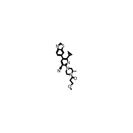 COCCC(=O)N1CCN(c2nc(C3CC3)c(-c3ccc4ncsc4c3)cc2C#N)C[C@H]1C